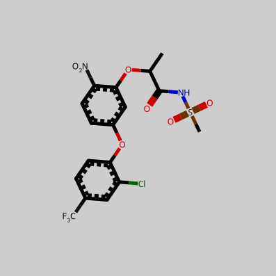 CC(Oc1cc(Oc2ccc(C(F)(F)F)cc2Cl)ccc1[N+](=O)[O-])C(=O)NS(C)(=O)=O